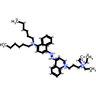 CCCCCCN(CCCCCC)c1ccc(/N=N/c2cc[n+](CCC[N+](CC)(CC)CC)c3ccccc23)c2ccccc12